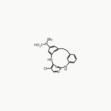 CC(C)(C)N(C(=O)O)c1cc2cc(c1)Nc1nc(ncc1Cl)Nc1cccc(c1)CC2